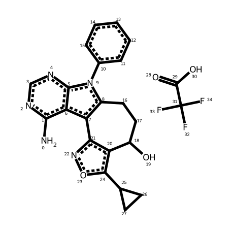 Nc1ncnc2c1c1c(n2-c2ccccc2)CCC(O)c2c-1noc2C1CC1.O=C(O)C(F)(F)F